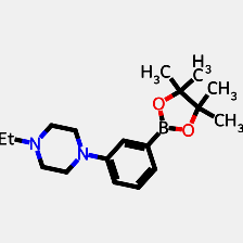 CCN1CCN(c2cccc(B3OC(C)(C)C(C)(C)O3)c2)CC1